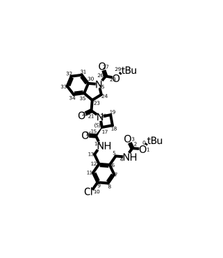 CC(C)(C)OC(=O)NCc1ccc(Cl)cc1CNC(=O)[C@@H]1CCN1C(=O)C1CN(C(=O)OC(C)(C)C)c2ccccc21